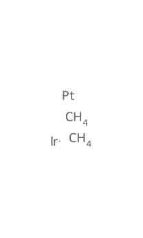 C.C.[Ir].[Pt]